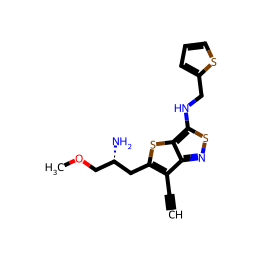 C#Cc1c(C[C@@H](N)COC)sc2c(NCc3cccs3)snc12